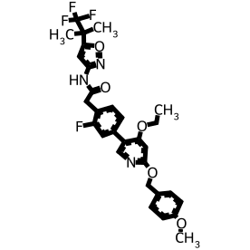 CCOc1cc(OCc2ccc(OC)cc2)ncc1-c1ccc(CC(=O)Nc2cc(C(C)(C)C(F)(F)F)on2)c(F)c1